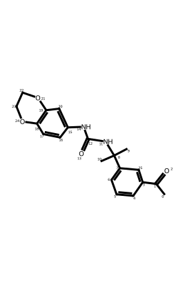 CC(=O)c1cccc(C(C)(C)NC(=O)Nc2ccc3c(c2)OCCO3)c1